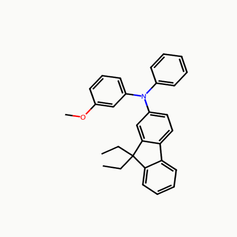 CCC1(CC)c2ccccc2-c2ccc(N(c3ccccc3)c3cccc(OC)c3)cc21